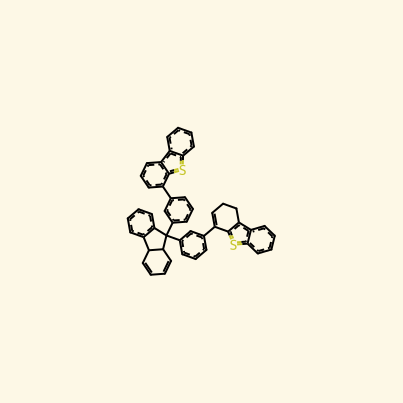 C1=CC2c3ccccc3C(c3cccc(C4=CCCc5c4sc4ccccc54)c3)(c3cccc(-c4cccc5c4sc4ccccc45)c3)C2C=C1